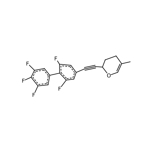 CC1=COC(C#Cc2cc(F)c(-c3cc(F)c(F)c(F)c3)c(F)c2)CC1